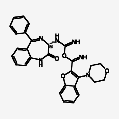 N=C(N[C@H]1N=C(c2ccccc2)c2ccccc2NC1=O)OC(=N)c1oc2ccccc2c1N1CCOCC1